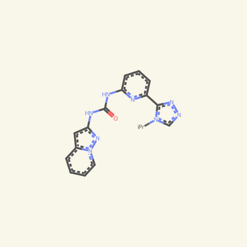 CC(C)n1cnnc1-c1cccc(NC(=O)Nc2cc3ccccn3n2)n1